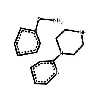 NSc1ccccc1.c1ccc(N2CCNCC2)nc1